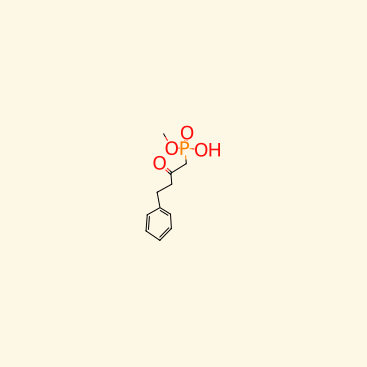 COP(=O)(O)CC(=O)CCc1ccccc1